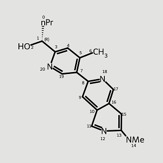 CCC[C@@H](O)c1cc(C)c(-c2cc3cnc(NC)cc3cn2)cn1